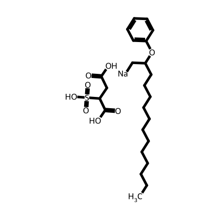 CCCCCCCCCCCCC([CH2][Na])Oc1ccccc1.O=C(O)CC(C(=O)O)S(=O)(=O)O